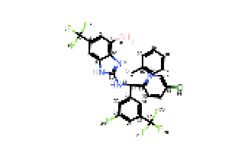 Bc1cc(C(F)(F)F)cc2[nH]c(N[C@](Cc3ccccc3)(c3cc(F)cc(C(F)(F)F)c3)c3ccc(Cl)cn3)nc12